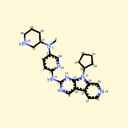 CN(c1ccc(Nc2ncc3c4ccncc4n(C4CCCC4)c3n2)nc1)C1CCCNC1